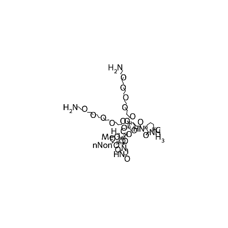 CCCCCCCCCC(=O)O[C@@H]1[C@H](OC)[C@@H]([C@H](C)OC2OC(C(=O)N[C@H]3CCC[C@@H](C)NC3=O)=C[C@H](OC(=O)CCOCCOCCOCCOCCN)[C@@H]2OC(=O)CCOCCOCCOCCOCCN)O[C@H]1n1ccc(=O)[nH]c1=O